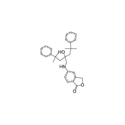 CC(C)(CC(O)(CNc1ccc2c(c1)COC2=O)CC(C)(C)c1ccccc1)c1ccccc1